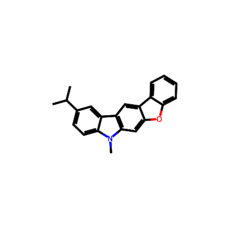 CC(C)c1ccc2c(c1)c1cc3c(cc1n2C)oc1ccccc13